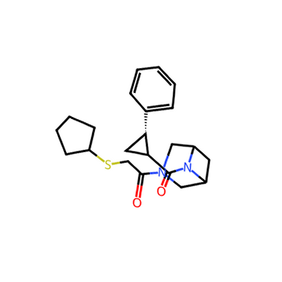 O=C(CSC1CCCC1)N1CC2CC(C1)N2C(=O)C1C[C@@H]1c1ccccc1